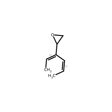 C/C=C\C(=C/C)C1CO1